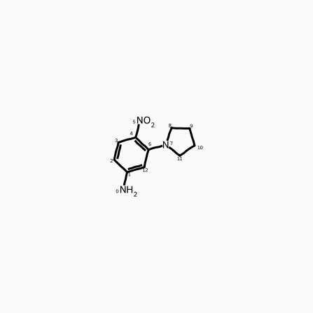 Nc1ccc([N+](=O)[O-])c(N2CCCC2)c1